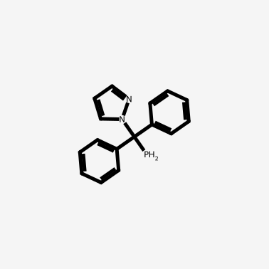 PC(c1ccccc1)(c1ccccc1)n1cccn1